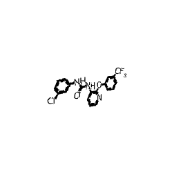 O=C(Nc1cccc(Cl)c1)Nc1cccnc1Oc1cccc(C(F)(F)F)c1